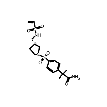 C=CS(=O)(=O)NC[C@H]1CCN(S(=O)(=O)c2ccc(C(C)(C)C(N)=O)cc2)C1